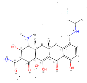 CC(CF)NCc1ccc(O)c2c1C[C@H]1C[C@@H]3C(N(C)C)C(O)=C(C(N)=O)C(=O)[C@]3(O)C(O)=C1C2=O